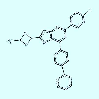 CC1OC(c2cc3nc(-c4ccc(Cl)cc4)cc(-c4ccc(-c5ccccc5)cc4)n3n2)O1